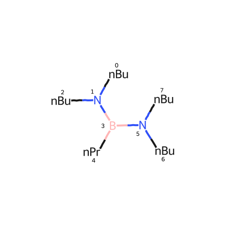 CCCCN(CCCC)B(CCC)N(CCCC)CCCC